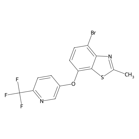 Cc1nc2c(Br)ccc(Oc3ccc(C(F)(F)F)nc3)c2s1